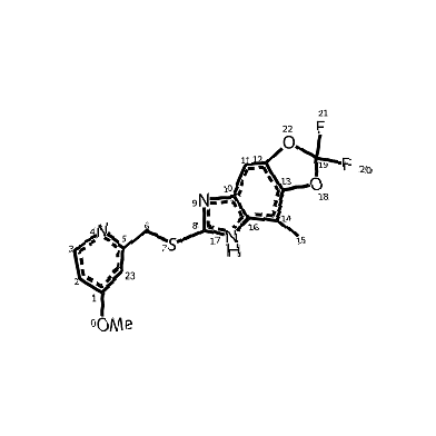 COc1ccnc(CSc2nc3cc4c(c(C)c3[nH]2)OC(F)(F)O4)c1